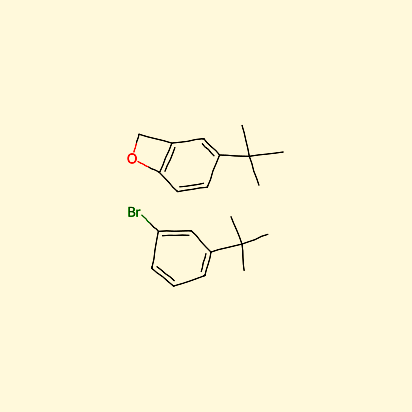 CC(C)(C)c1ccc2c(c1)CO2.CC(C)(C)c1cccc(Br)c1